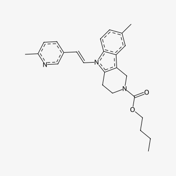 CCCCOC(=O)N1CCc2c(c3cc(C)ccc3n2C=Cc2ccc(C)nc2)C1